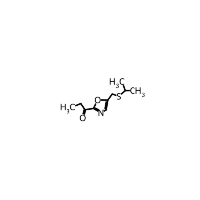 CCC(=O)c1ncc(CSC(C)C)o1